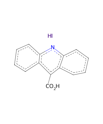 I.O=C(O)c1c2ccccc2nc2ccccc12